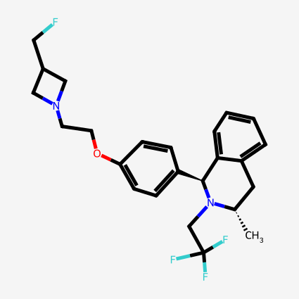 C[C@H]1Cc2ccccc2[C@H](c2ccc(OCCN3CC(CF)C3)cc2)N1CC(F)(F)F